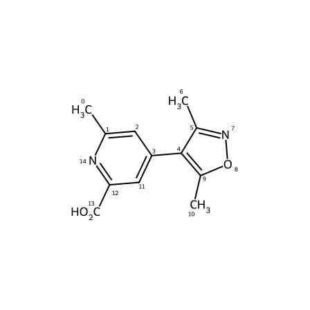 Cc1cc(-c2c(C)noc2C)cc(C(=O)O)n1